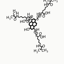 C=C(C)C(=O)NCCCCC(NOOSc1cc(S(=O)(=O)NC(CCCCNC(=O)C(=C)C)C(=O)O)c2ccc3c(O)cc(NOOSC(CCCCNC(=O)C(=C)C)C(=O)O)c4ccc1c2c34)C(=O)O